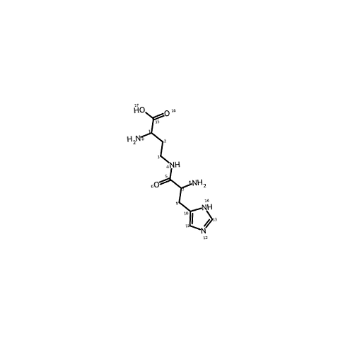 NC(CCNC(=O)C(N)Cc1cnc[nH]1)C(=O)O